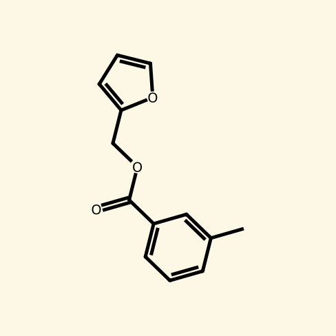 Cc1cccc(C(=O)OCc2ccco2)c1